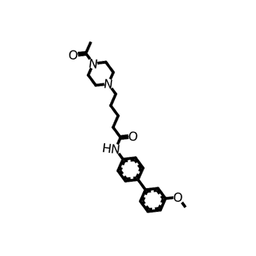 COc1cccc(-c2ccc(NC(=O)CCCCN3CCN(C(C)=O)CC3)cc2)c1